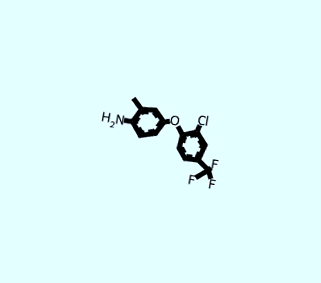 Cc1cc(Oc2ccc(C(F)(F)F)cc2Cl)ccc1N